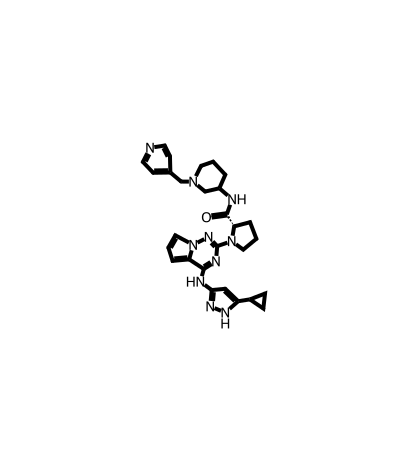 O=C(NC1CCCN(Cc2ccncc2)C1)[C@@H]1CCCN1c1nc(Nc2cc(C3CC3)[nH]n2)c2cccn2n1